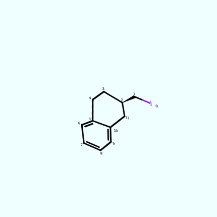 IC[C@@H]1CCc2ccccc2C1